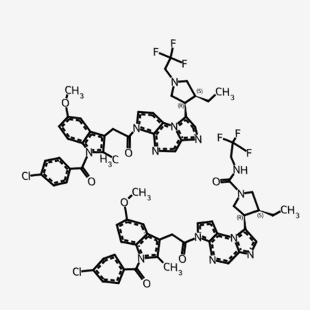 CC[C@@H]1CN(C(=O)NCC(F)(F)F)C[C@@H]1c1cnc2cnc3c(ccn3C(=O)Cc3c(C)n(C(=O)c4ccc(Cl)cc4)c4ccc(OC)cc34)n12.CC[C@@H]1CN(CC(F)(F)F)C[C@@H]1c1cnc2cnc3c(ccn3C(=O)Cc3c(C)n(C(=O)c4ccc(Cl)cc4)c4ccc(OC)cc34)n12